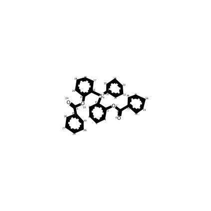 O=C(Oc1ccccc1[S+](c1ccccc1)c1ccccc1OC(=O)c1ccccc1)c1ccccc1